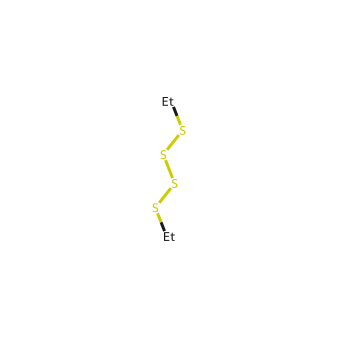 [CH2]CSSSSCC